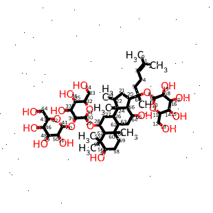 CC(C)=CCCC(C)(OC1OC(CO)C(O)C(O)C1O)C1CC(C)C2(C)C3CC(OC4OC(CO)C(O)C(O)C4OC4OC(CO)C(O)C(O)C4O)C4C(C)(C)C(O)CCC4(C)C3CC(O)C12